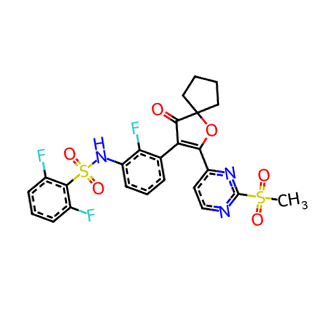 CS(=O)(=O)c1nccc(C2=C(c3cccc(NS(=O)(=O)c4c(F)cccc4F)c3F)C(=O)C3(CCCC3)O2)n1